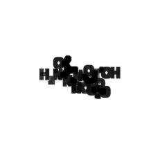 CC(=O)c1cn([C@@H]2O[C@H](CO)[C@H](OS(C)(=O)=O)[C@H]2O)c(=O)nc1N